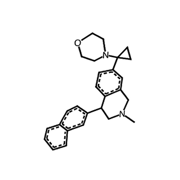 CN1Cc2cc(C3(N4CCOCC4)CC3)ccc2C(c2ccc3ccccc3c2)C1